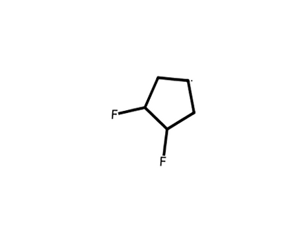 FC1C[CH]CC1F